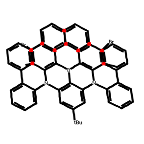 Cc1c(Br)ccc2c1N(c1ccccc1-c1cccc(-c3ccccc3)c1)c1cc(C(C)(C)C)cc3c1B2c1ccc(Br)c(C)c1N3c1ccccc1-c1cccc(-c2ccccc2)c1